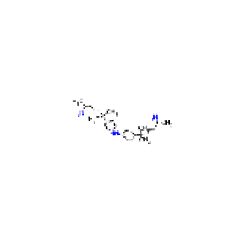 CC(N)CCCC(C)(C)c1ccc(Nc2ccc(C(C)(C)CCCC(C)N)cc2)cc1